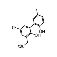 Cc1ccc(O)c(-c2cc(Cl)cc(CC(C)(C)C)c2O)c1